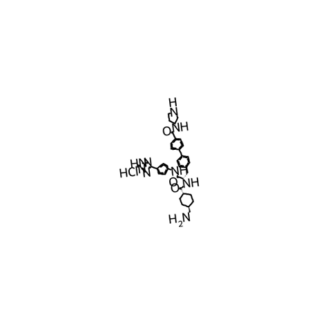 Cl.NC[C@H]1CC[C@H](C(=O)N[C@@H](Cc2ccc(-c3ccc(C(=O)N[C@@H]4CCNC4)cc3)cc2)C(=O)Nc2ccc(-c3nn[nH]n3)cc2)CC1